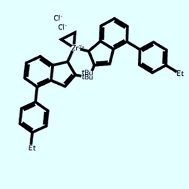 CCc1ccc(-c2cccc3c2C=C(C(C)(C)C)[CH]3[Zr+2]2([CH]3C(C(C)(C)C)=Cc4c(-c5ccc(CC)cc5)cccc43)[CH2][CH2]2)cc1.[Cl-].[Cl-]